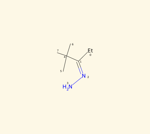 CCC(=NN)C(C)(C)C